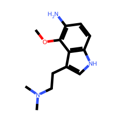 COc1c(N)ccc2[nH]cc(CCN(C)C)c12